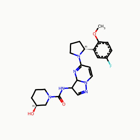 COc1ccc(F)cc1[C@H]1CCCN1C1=NC2C(NC(=O)N3CCC[C@H](O)C3)C=NN2C=C1